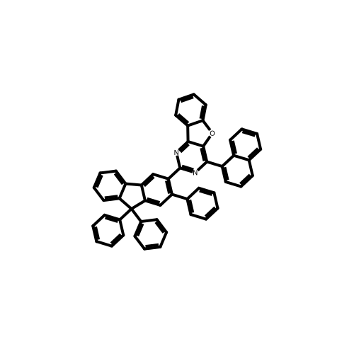 c1ccc(-c2cc3c(cc2-c2nc(-c4cccc5ccccc45)c4oc5ccccc5c4n2)-c2ccccc2C3(c2ccccc2)c2ccccc2)cc1